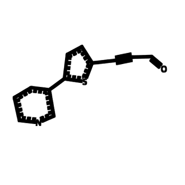 O=CC#Cc1ccc(-c2cccnc2)s1